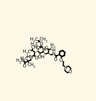 CC(C)[C@@H](CNC(=O)c1ccccc1OCCN1CCOCC1)C[C@H](NC(=O)OC(C)(C)C)[C@@H](O)C[C@H](C(=O)NCC(C)(C)C(N)=O)C(C)C